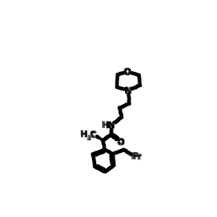 CC(C)Cc1ccccc1[C@@H](C)C(=O)NCCCN1CCOCC1